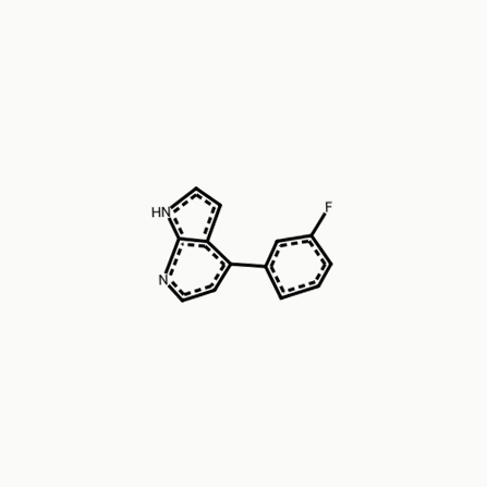 Fc1cccc(-c2ccnc3[nH]ccc23)c1